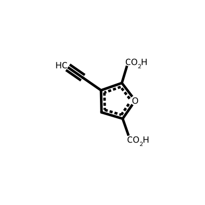 C#Cc1cc(C(=O)O)oc1C(=O)O